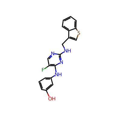 Oc1cccc(Nc2nc(NCc3csc4ccccc34)ncc2F)c1